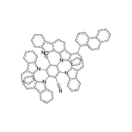 N#Cc1c(-n2c3ccccc3c3ccccc32)c(-n2c3ccccc3c3ccccc32)c(C#N)c(-n2c3cccc(-c4cccc5c4ccc4ccccc45)c3c3ccc4c5ccccc5oc4c32)c1-n1c2ccccc2c2ccccc21